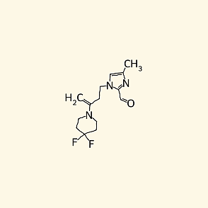 C=C(CCn1cc(C)nc1C=O)N1CCC(F)(F)CC1